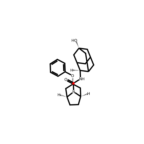 O=C(N[C@H]1C2CC3CC1C[C@](O)(C3)C2)N1[C@@H]2CC[C@H]1C[C@H](Oc1ccccc1)C2